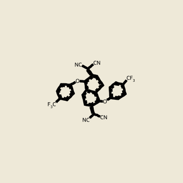 N#CC(C#N)=c1ccc2c(Oc3ccc(C(F)(F)F)cc3)c(=C(C#N)C#N)ccc2c1Oc1ccc(C(F)(F)F)cc1